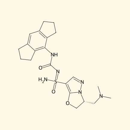 CN(C)C[C@@H]1COc2c(S(N)(=O)=NC(=O)Nc3c4c(cc5c3CCC5)CCC4)cnn21